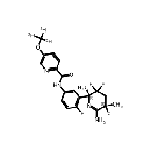 [2H]C([2H])([2H])Oc1ccc(C(=O)Nc2ccc(F)c([C@@]3(C)N=C(N)[C@@](C)(F)CC3(F)F)c2)nc1